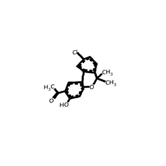 CC(=O)c1cc2c(cc1O)OC(C)(C)c1ccc(Cl)cc1-2